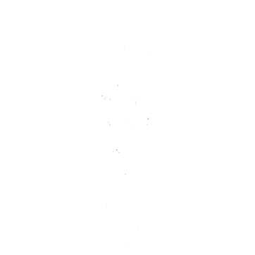 CCC(=O)c1ccccc1NC1CCN(CCc2ccccc2)CC1(C)O